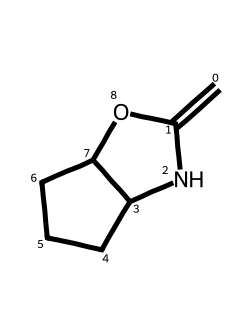 C=C1NC2CCCC2O1